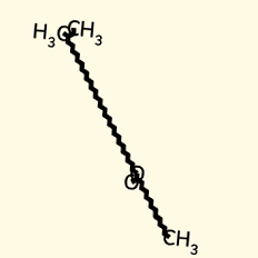 CCCCC=CCCCCCCCC(=O)OCCCCCCCCCCCCCCCCCCCCCCCCCCCCCC(C)CC